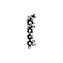 CC(C)(C)OC(=O)C1(C)CCN(C(=O)C2(C)CCN(c3ccc(C4CCC(=O)NC4=O)cn3)CC2)CC1